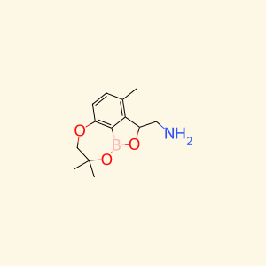 Cc1ccc2c3c1C(CN)OB3OC(C)(C)CO2